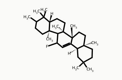 CC1CC[C@]2(C)C3C(F)C=C4[C@@H]5CC(C)(C)CC[C@]5(C)CC[C@@]4(C)[C@]3(C)CC[C@H]2C1(C)C